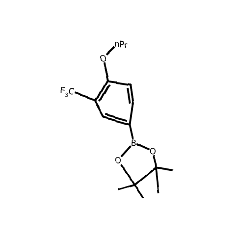 CCCOc1ccc(B2OC(C)(C)C(C)(C)O2)cc1C(F)(F)F